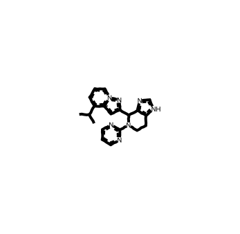 CC(C)c1cccn2nc(C3c4nc[nH]c4CCN3c3ncccn3)cc12